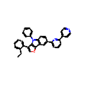 CCc1ccccc1-c1coc2c3cc(-c4cccc(-c5ccncc5)n4)ccc3n(-c3ccccc3)c12